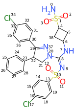 NS(=O)(=O)C1CC(NC(=NS(=O)(=O)c2ccc(Cl)cc2)N2CC(c3ccccc3)C(c3ccc(Cl)cc3)=N2)C1